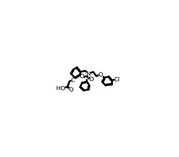 O=C(O)CCc1cccc(CN(CCOc2cccc(Cl)c2)S(=O)(=O)c2ccccc2)c1